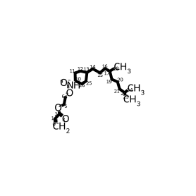 C=CC(=O)OCCO[NH+]([O-])C1CCC(CCCC(C)CCCC(C)C)CC1